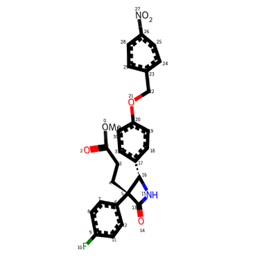 COC(=O)CC[C@]1(c2ccc(F)cc2)C(=O)N[C@H]1c1ccc(OCc2ccc([N+](=O)[O-])cc2)cc1